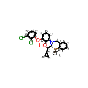 OC(CN(Cc1ccccc1SC(F)(F)F)c1cccc(Oc2cccc(Cl)c2Cl)c1)C1CC1